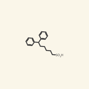 O=S(=O)(O)CCCCCC(c1ccccc1)c1ccccc1